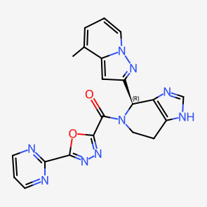 Cc1cccn2nc([C@H]3c4nc[nH]c4CCN3C(=O)c3nnc(-c4ncccn4)o3)cc12